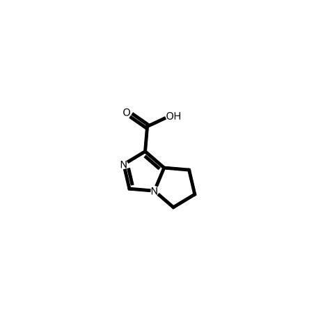 O=C(O)c1ncn2c1CCC2